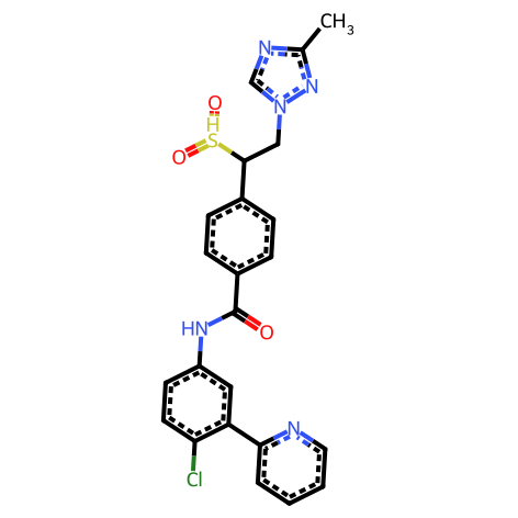 Cc1ncn(CC(c2ccc(C(=O)Nc3ccc(Cl)c(-c4ccccn4)c3)cc2)[SH](=O)=O)n1